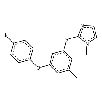 Cc1cc(Oc2ccc(I)cc2)cc(Sc2nccn2C)c1